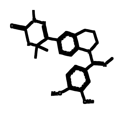 C/N=C(/c1ccc(OC)c(OC)c1)N1CCCc2cc(C3=NN(C)C(=O)SC3(C)C)ccc21